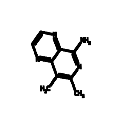 Cc1nc(N)c2nccnc2c1C